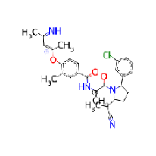 CC(=N)/C=C(\C)Oc1ccc(C(=O)N[C@H](C)C(=O)N2C(c3cccc(Cl)c3)CCC2C(C)C#N)cc1C